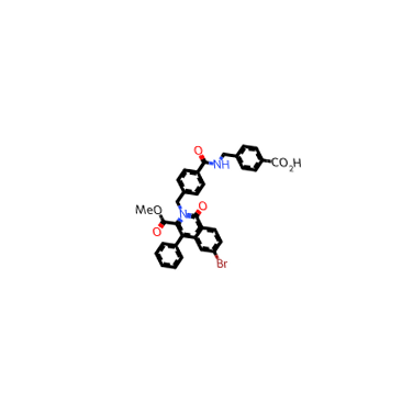 COC(=O)c1c(-c2ccccc2)c2cc(Br)ccc2c(=O)n1Cc1ccc(C(=O)NCc2ccc(C(=O)O)cc2)cc1